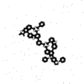 C=C1Oc2cccc(-c3ccc4oc5c(-c6cccc(-c7nc(-c8ccccc8)nc(-c8cccc9oc%10ccc(-c%11ccc%12c(c%11)c%11cc%13c(cc%11n%12-c%11ccccc%11)CCN%13c%11ccccc%11)cc%10c89)n7)c6)ccc(-c6nc(-c7ccccc7)nc(-c7ccccc7)n6)c5c4c3)c2C1C